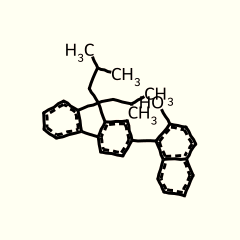 CC(C)CC1(CC(C)C)c2ccccc2-c2ccc(-c3c(O)ccc4ccccc34)cc21